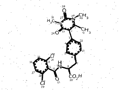 Cc1c(-c2ccc(CC(NC(=O)c3c(Cl)cccc3Cl)C(=O)O)cc2)c(=O)n(C)c(=O)n1C